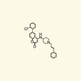 O=c1cc(NC2CCN(CC=Cc3ccccc3)CC2)c2cc(-c3ccccc3Cl)ccc2o1